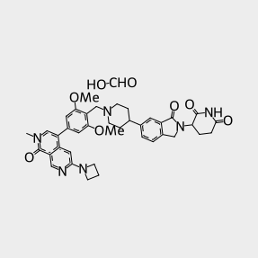 COc1cc(-c2cn(C)c(=O)c3cnc(N4CCC4)cc23)cc(OC)c1CN1CCC(c2ccc3c(c2)C(=O)N(C2CCC(=O)NC2=O)C3)CC1.O=CO